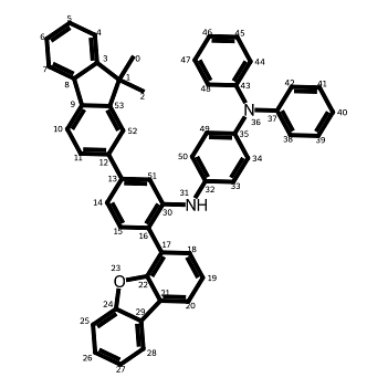 CC1(C)c2ccccc2-c2ccc(-c3ccc(-c4cccc5c4oc4ccccc45)c(Nc4ccc(N(c5ccccc5)c5ccccc5)cc4)c3)cc21